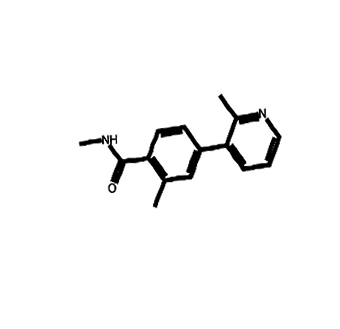 CNC(=O)c1ccc(-c2cccnc2C)cc1C